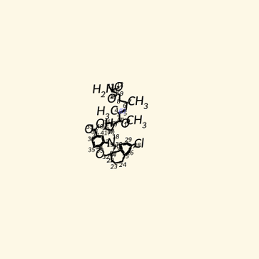 CO[C@H](/C(C)=C/C(C)CCS(N)(=O)=O)[C@@H]1CC[C@H]1CN1C[C@@]2(CCCc3cc(Cl)ccc32)COc2ccc(C(=O)O)cc21